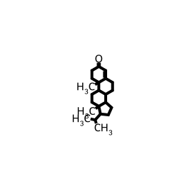 CC(C)C1CCC2C3CCC4=CC(=O)CCC4(C)C3CCC12C